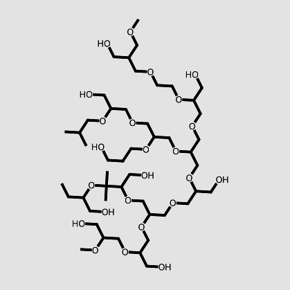 CCC(CO)OC(C)(C)C(CO)OCC(COCC(CO)OCC(COCC(CO)OCCOCC(CO)COC)OCC(COCC(CO)OCC(C)C)OCCCO)OCC(CO)OCC(CO)OC